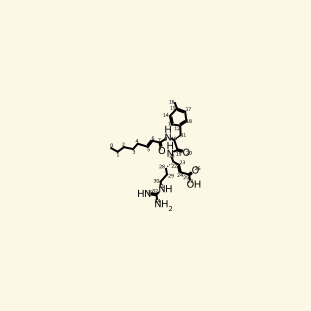 CCCCC/C=C/C(=O)N[C@@H](Cc1ccc(C)cc1)C(=O)N[C@H](/C=C/C(=O)O)CCCNC(=N)N